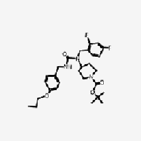 CCCOc1ccc(CNC(=O)N(Cc2ccc(F)cc2F)C2CCN(C(=O)OC(C)(C)C)CC2)cc1